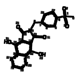 CS(=O)(=O)c1ccc(CN2C(=O)c3c(c(O)c4nccnc4c3O)C2=O)cc1